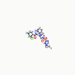 Cn1cnc(S(=O)(=O)N2CCN(C3(CNC(=O)c4ccc(F)cc4Cl)CCCCC3)CC2)c1